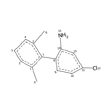 Cc1cccc(C)c1-c1ccc(Cl)cc1N